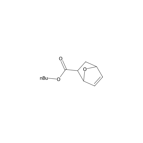 CCCCOC(=O)C1CC2C=CC1O2